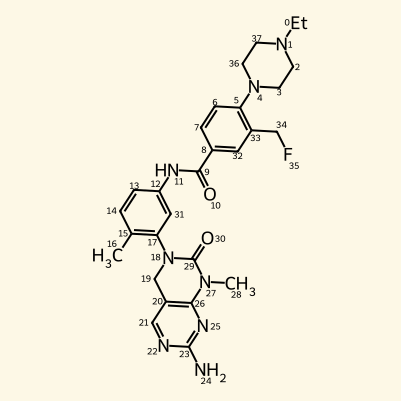 CCN1CCN(c2ccc(C(=O)Nc3ccc(C)c(N4Cc5cnc(N)nc5N(C)C4=O)c3)cc2CF)CC1